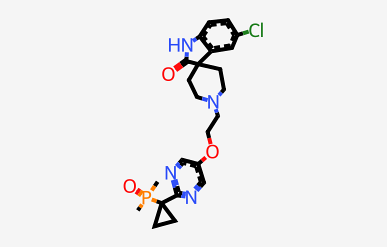 CP(C)(=O)C1(c2ncc(OCCN3CCC4(CC3)C(=O)Nc3ccc(Cl)cc34)cn2)CC1